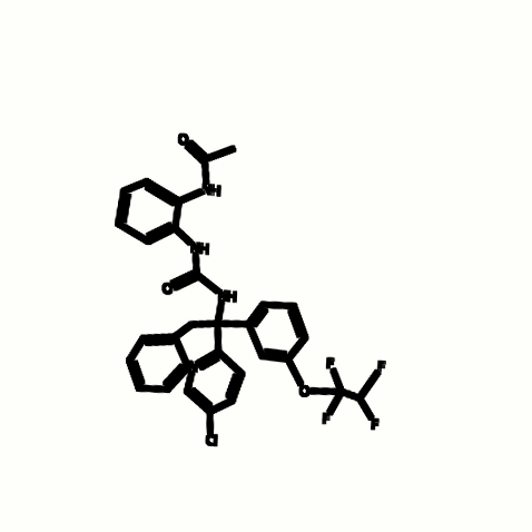 CC(=O)Nc1ccccc1NC(=O)NC(Cc1ccccc1)(c1cccc(OC(F)(F)C(F)F)c1)c1ccc(Cl)cn1